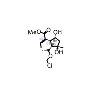 C/C=C(/C(=O)OC)[C@@H]1[C@H]([C@@H](C)OCCl)[C@@](C)(O)C[C@H]1O